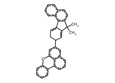 CC1(C)C2=CC(c3cc4c5c(cccc5c3)-c3ccccc3O4)CC=C2c2c1ccc1ccccc21